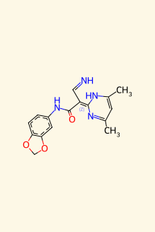 CC1=CC(C)=N/C(=C(/C=N)C(=O)Nc2ccc3c(c2)OCO3)N1